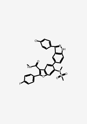 CNC(=O)c1c(-c2ccc(F)cc2)oc2cc(N(C)S(C)(=O)=O)c(-c3ccc4[nH]nc(-c5ccc(Cl)cc5)c4c3)cc12